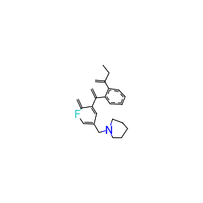 C=C(F)/C(=C\C(=C/C)CN1CCCCC1)C(=C)c1ccccc1C(=C)CC